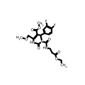 CCOC(=O)CCNC(=O)N1C(=O)NC(COC)=C(C(=O)OC)C1c1ccc(F)c(F)c1